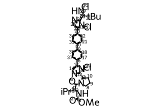 COC(=O)N[C@H](C(=O)N1CCC[C@H]1c1ncc(-c2ccc(-c3ccc(-c4cnc([C@@H](NCl)C(C)(C)C)n4Cl)cc3)cc2)n1Cl)C(C)C